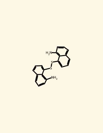 Nc1cccc2cccc(SSc3cccc4cccc(N)c34)c12